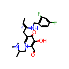 C/C=C(/Cc1cn(CC(C)N(C)C)c(C=O)c(O)c1=O)NCc1ccc(F)cc1F